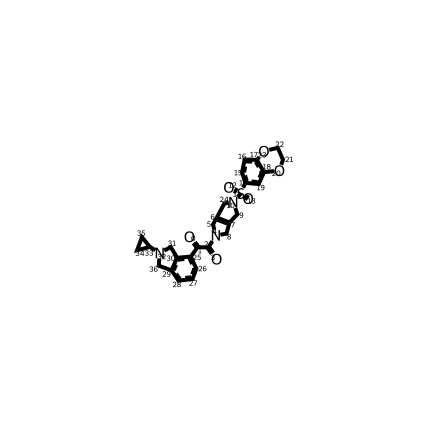 O=C(C(=O)N1CC2=C(C1)CN(S(=O)(=O)c1ccc3c(c1)OCCO3)C2)c1cccc2c1CN(C1CC1)C2